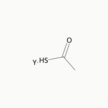 CC(=O)S.[Y]